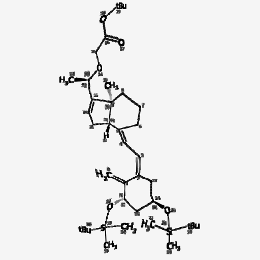 C=C1C(=CC=C2CCC[C@]3(C)C([C@@H](C)OCC(=O)OC(C)(C)C)=CC[C@@H]23)C[C@@H](O[Si](C)(C)C(C)(C)C)C[C@@H]1O[Si](C)(C)C(C)(C)C